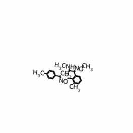 CNC(=O)/C(=N/OC)c1cccc(C)c1CO/N=C(\C)c1ccc(C)cc1